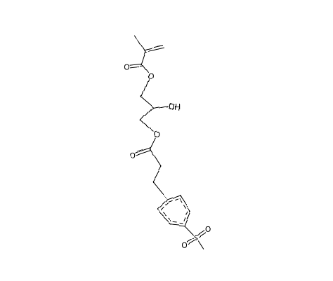 C=C(C)C(=O)OCC(O)COC(=O)CCc1ccc(S(C)(=O)=O)cc1